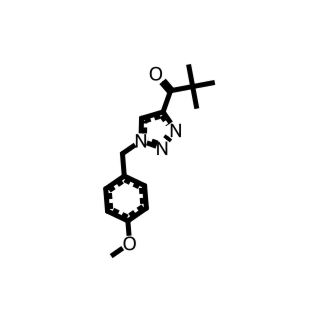 COc1ccc(Cn2cc(C(=O)C(C)(C)C)nn2)cc1